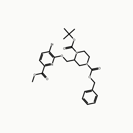 COC(=O)c1ccc(Br)c(OCC2CN(C(=O)OCc3ccccc3)CCN2C(=O)OC(C)(C)C)n1